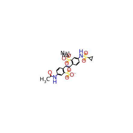 CC(=O)Nc1ccc(/C=C/c2ccc(NS(=O)(=O)C3CC3)cc2S(=O)(=O)[O-])c(S(=O)(=O)[O-])c1.[Na+].[Na+]